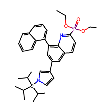 CCOP(=O)(OCC)c1ccc2cc(-c3ccn([Si](C(C)C)(C(C)C)C(C)C)c3)cc(-c3cccc4ccccc34)c2n1